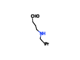 CC(C)CNCCCC=O